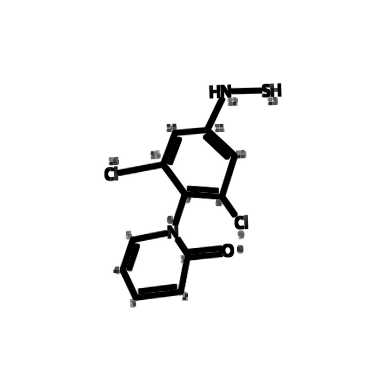 O=c1ccccn1-c1c(Cl)cc(NS)cc1Cl